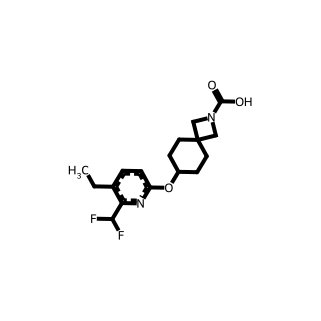 CCc1ccc(OC2CCC3(CC2)CN(C(=O)O)C3)nc1C(F)F